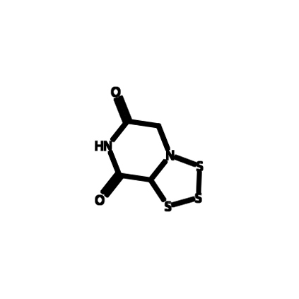 O=C1CN2SSSC2C(=O)N1